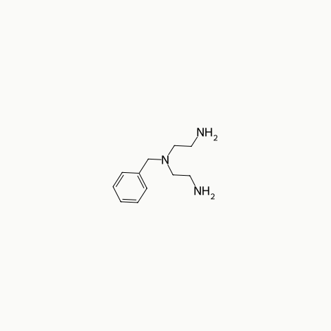 NCCN(CCN)Cc1ccccc1